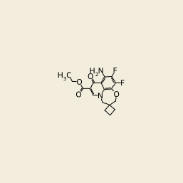 CCOC(=O)c1cn2c3c(c(F)c(F)c(N)c3c1=O)OCC1(CCC1)C2